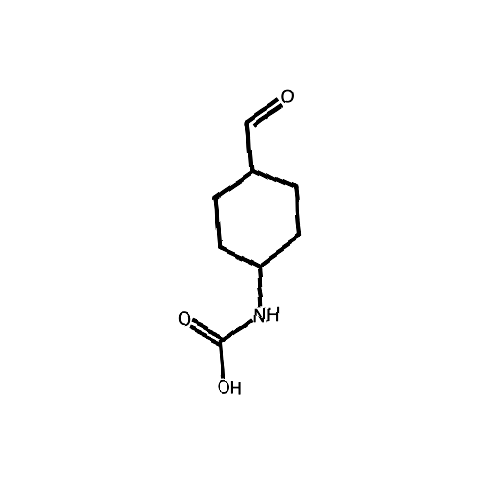 O=CC1CCC(NC(=O)O)CC1